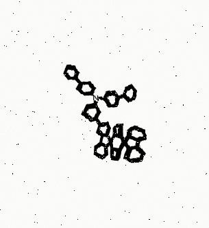 c1ccc(-c2ccc(N(c3ccc(-c4ccccc4)cc3)c3cccc(-c4ccc5c(c4)-c4ccccc4C54c5ccccc5C5(c6ccccc6-c6ccccc65)c5ccccc54)c3)cc2)cc1